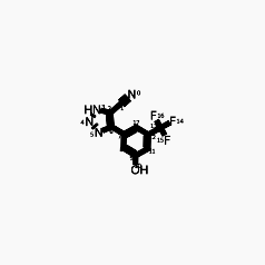 N#Cc1[nH]nnc1-c1cc(O)cc(C(F)(F)F)c1